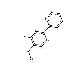 Fc1cc(-c2ccccn2)ccc1CCl